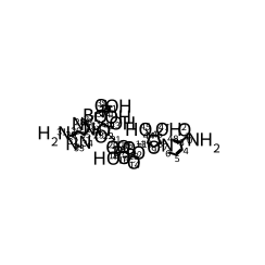 NC(=O)c1ccc[n+]([C@@H]2O[C@H](COP(=O)([O-])OP(=O)(O)OC[C@H]3O[C@@H](n4c(Br)nc5c(N)ncnc54)[C@H](OP(=O)(O)O)[C@@H]3O)[C@@H](O)[C@H]2O)c1